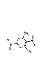 Cc1cc([N+](=O)[O-])cc(N)c1[N+](=O)[O-]